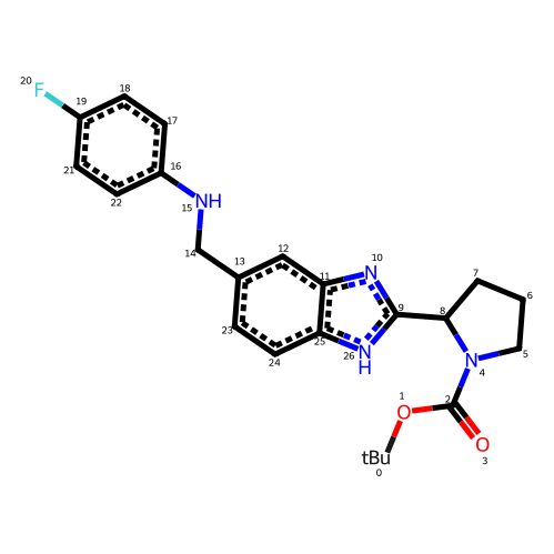 CC(C)(C)OC(=O)N1CCCC1c1nc2cc(CNc3ccc(F)cc3)ccc2[nH]1